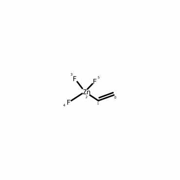 C=[CH][Zn]([F])([F])[F]